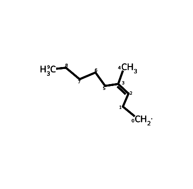 [CH2]CC=C(C)CCCCC